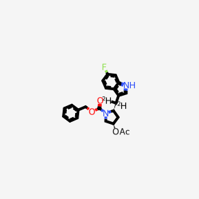 [2H]C([2H])(c1c[nH]c2cc(F)ccc12)[C@@H]1C[C@H](OC(C)=O)CN1C(=O)OCc1ccccc1